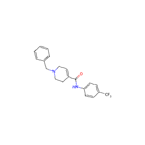 O=C(Nc1ccc(C(F)(F)F)cc1)C1=CCN(Cc2ccccc2)CC1